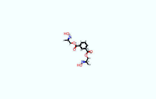 CC(COC(=O)c1cccc(C(=O)OCC(C)=NO)c1)=NO